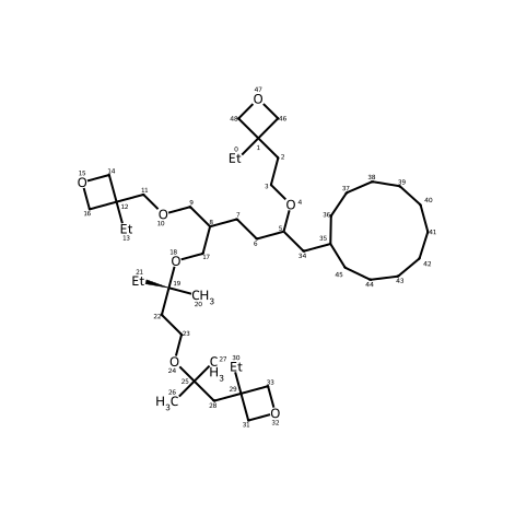 CCC1(CCOC(CCC(COCC2(CC)COC2)CO[C@@](C)(CC)CCOC(C)(C)CC2(CC)COC2)CC2CCCCCCCCCC2)COC1